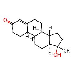 CC[C@]12CC[C@H]3[C@@H](CCC4=CC(=O)CC[C@@H]43)[C@@H]1CC[C@@]2(O)C(F)(F)F